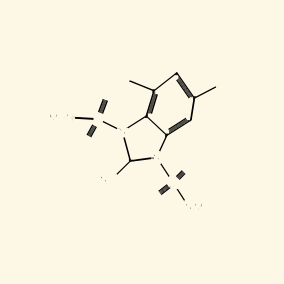 CNS(=O)(=O)N1c2cc(C(F)(F)F)cc(C(F)(F)F)c2N(S(=O)(=O)NC)C1C#N